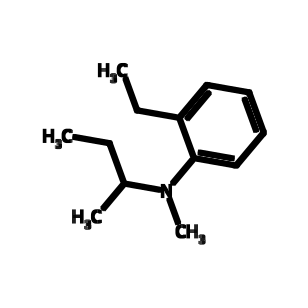 CCc1ccccc1N(C)C(C)CC